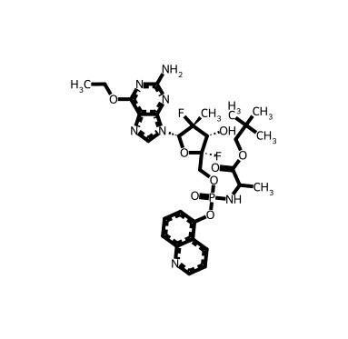 CCOc1nc(N)nc2c1ncn2[C@H]1O[C@](F)(COP(=O)(NC(C)C(=O)OCC(C)(C)C)Oc2cccc3ncccc23)[C@@H](O)[C@@]1(C)F